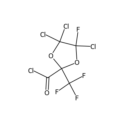 O=C(Cl)C1(C(F)(F)F)OC(F)(Cl)C(Cl)(Cl)O1